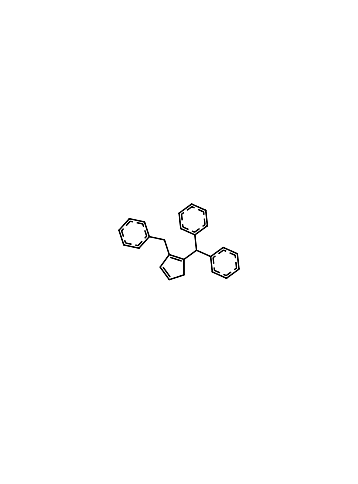 C1=CC(Cc2ccccc2)=C(C(c2ccccc2)c2ccccc2)C1